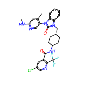 CNc1cc(C)c(-n2c(=O)n(C[C@H]3CC[C@H](NC(=O)c4cc(Cl)cnc4C(F)(F)F)CC3)c3ccccc32)cn1